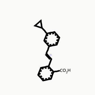 O=C(O)c1ccccc1/C=C/c1cccc(C2CC2)c1